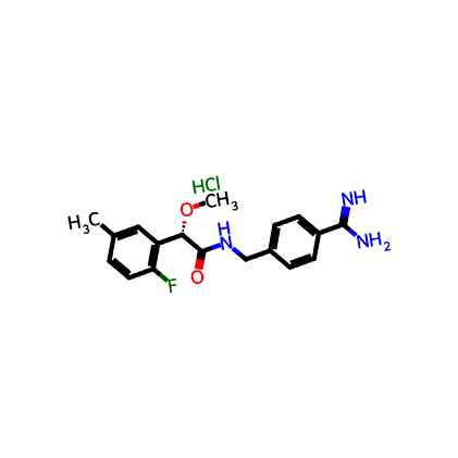 CO[C@H](C(=O)NCc1ccc(C(=N)N)cc1)c1cc(C)ccc1F.Cl